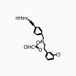 CCCCCCC#Cc1ccc(CN(CCc2cccc(Cl)c2)OC(=O)C=O)cc1